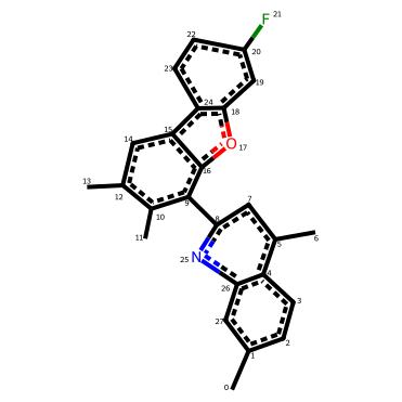 Cc1ccc2c(C)cc(-c3c(C)c(C)cc4c3oc3cc(F)ccc34)nc2c1